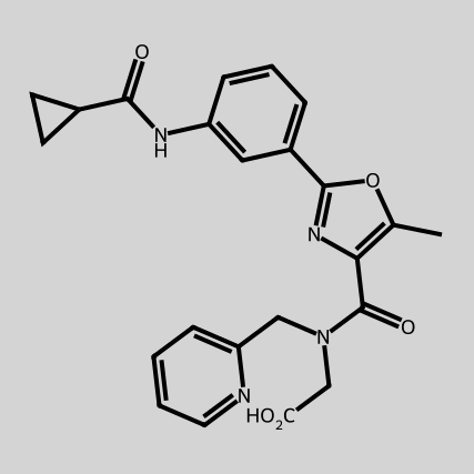 Cc1oc(-c2cccc(NC(=O)C3CC3)c2)nc1C(=O)N(CC(=O)O)Cc1ccccn1